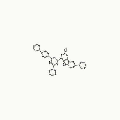 Clc1cc(-c2cc(-c3ccc(-c4ccccc4)cc3)nc(-c3ccccc3)n2)c2oc3ccc(-c4ccccc4)cc3c2c1